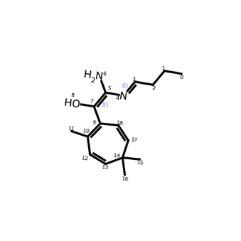 CCC/C=N/C(N)=C(/O)C1=C(C)C=CC(C)(C)C=C1